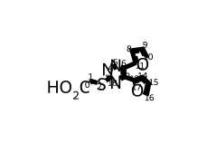 O=C(O)CSc1nnc(-c2ccco2)c(-c2ccco2)n1